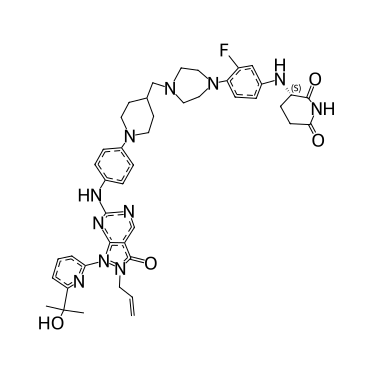 C=CCn1c(=O)c2cnc(Nc3ccc(N4CCC(CN5CCN(c6ccc(N[C@H]7CCC(=O)NC7=O)cc6F)CC5)CC4)cc3)nc2n1-c1cccc(C(C)(C)O)n1